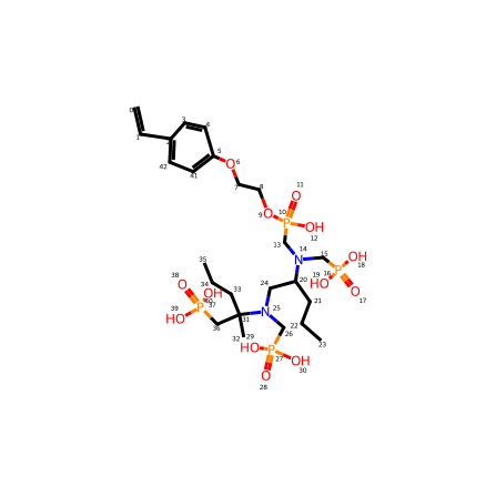 C=Cc1ccc(OCCOP(=O)(O)CN(CP(=O)(O)O)C(CCC)CN(CP(=O)(O)O)C(C)(CCC)CP(=O)(O)O)cc1